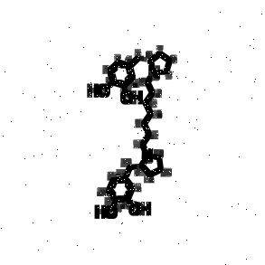 Oc1ccc(C[C@@H]2CCCN2CCCCCCCN2CCC[C@H]2Cc2ccc(O)c(O)c2)cc1O